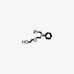 CC(C)CN(CCOCCO)c1ccccc1